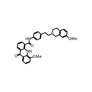 COc1ccc2c(c1)CN(CCc1ccc(NC(=O)c3cccc4c(=O)c5cccc(OC)c5[nH]c34)cc1)CC2